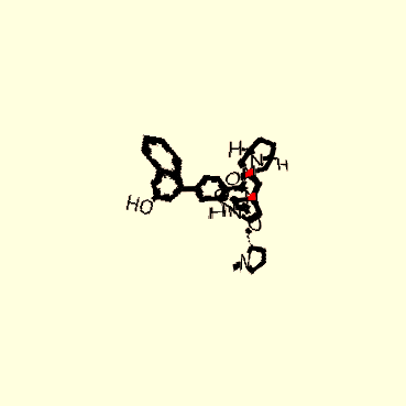 CN1CCC[C@H]1COc1nc(N2C[C@H]3CC[C@@H](C2)N3C(=O)CC2CCNC2=O)c2ccc(-c3cc(O)cc4ccccc34)cc2n1